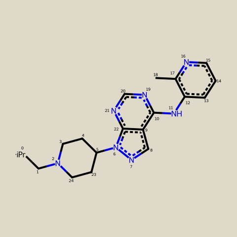 C[C](C)CN1CCC(n2ncc3c(Nc4cccnc4C)ncnc32)CC1